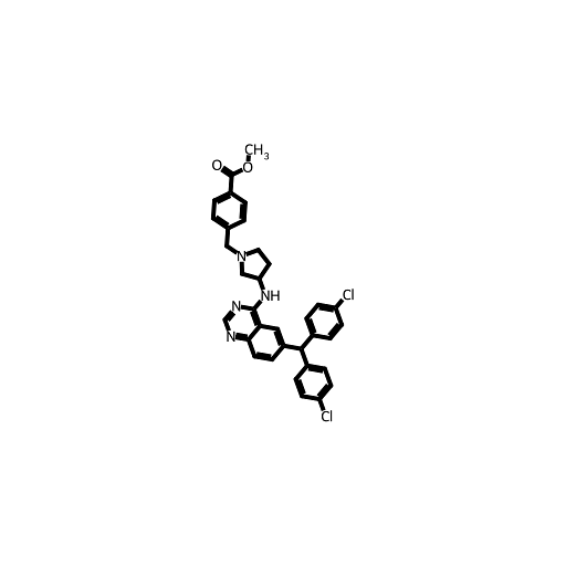 COC(=O)c1ccc(CN2CCC(Nc3ncnc4ccc(C(c5ccc(Cl)cc5)c5ccc(Cl)cc5)cc34)C2)cc1